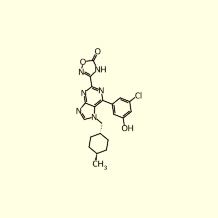 C[C@H]1CC[C@H](Cn2cnc3nc(-c4noc(=O)[nH]4)nc(-c4cc(O)cc(Cl)c4)c32)CC1